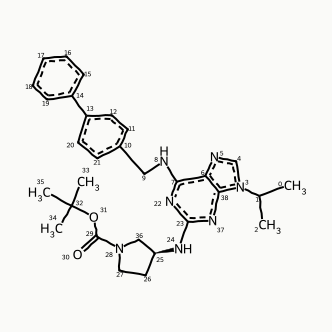 CC(C)n1cnc2c(NCc3ccc(-c4ccccc4)cc3)nc(N[C@H]3CCN(C(=O)OC(C)(C)C)C3)nc21